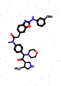 COc1cccc(Nc2nc3ccc(CC(=O)N(C)c4ccc(C(C(=O)C5CNCC5C(=O)O)N5CCOCC5)cc4)cc3o2)c1